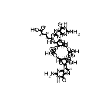 Nc1nc2c(ncn2[C@@H]2O[C@@H]3COP(=O)(O)O[C@@H]4[C@H](O)[C@H](n5cnc6c(=O)[nH]c(N)nc65)O[C@@H]4COP(=O)(O)OC3C2NC(=O)CCCC(=O)O)c(=O)[nH]1